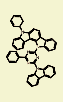 C1=CCC(n2c3ccccc3c3c4c(ccc32)c2ccccc2n4-c2nc(-c3ccccc3)nc(-n3c4ccccc4c4ccccc43)n2)C=C1